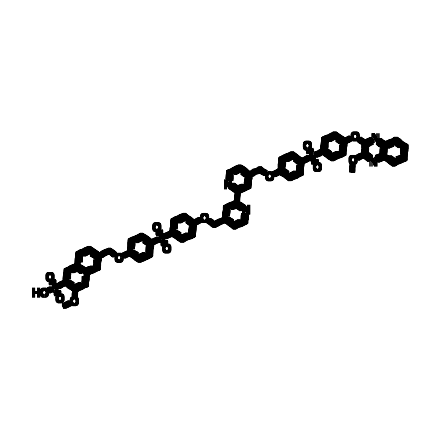 COc1cc2cc(COc3ccc(S(=O)(=O)c4ccc(OCc5ccnc(-c6cc(COc7ccc(S(=O)(=O)c8ccc(Oc9nc%10ccccc%10nc9OC)cc8)cc7)ccn6)c5)cc4)cc3)ccc2cc1S(=O)(=O)O